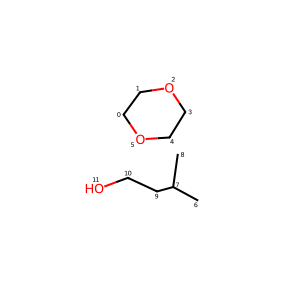 C1COCCO1.CC(C)CCO